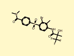 Cc1c(NC(=O)C(C)(O)C(F)(F)F)ccc(S(=O)(=O)c2ccc(C(=O)N(C)C)cc2)c1Br